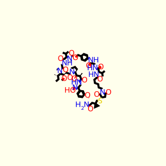 CC[C@H](C)C([C@@H](CC(=O)N1CCC[C@H]1[C@H](OC)[C@@H](C)C(=O)NC/C(=N/O)c1cccc(OC)c1)OC)N(C)C(=O)CNC(=O)C(C(C)C)N(C)C(=O)OCc1ccc(NC(=O)CNC(=O)C(NC(=O)CCCCCN2C(=O)CC(SCC3(CC(N)=O)CC3)C2=O)C(C)C)cc1